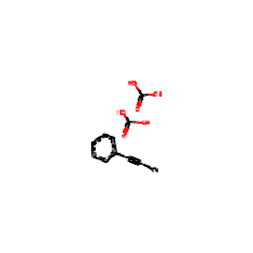 O=C(O)O.O=C(O)O.[Fe][C]#Cc1ccccc1